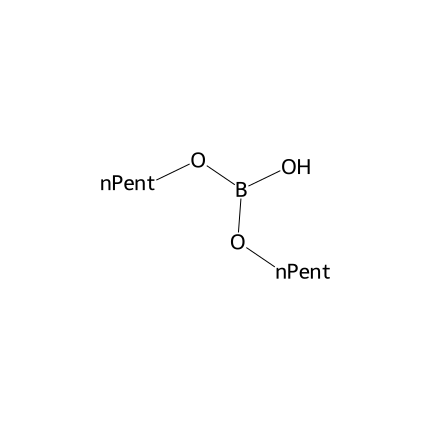 CCCCCOB(O)OCCCCC